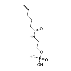 C=CCCCC(=O)NCCOP(=O)(O)O